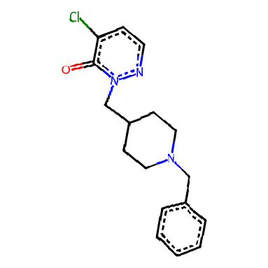 O=c1c(Cl)ccnn1CC1CCN(Cc2ccccc2)CC1